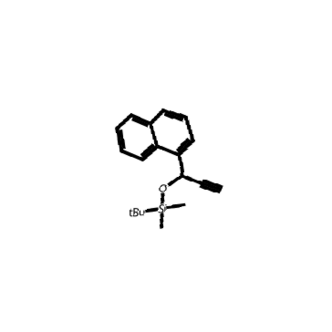 C#CC(O[Si](C)(C)C(C)(C)C)c1cccc2ccccc12